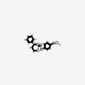 O=[N+]([O-])c1ccc(O[P@]2(=O)OCC[C@@H](c3ccccc3)O2)cc1